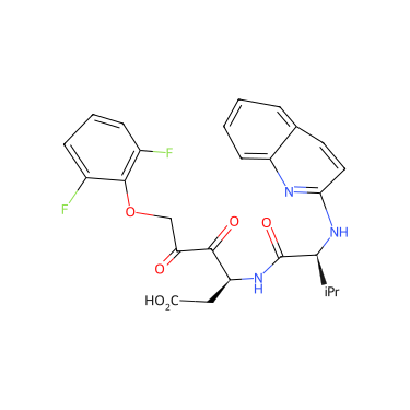 CC(C)[C@H](Nc1ccc2ccccc2n1)C(=O)N[C@@H](CC(=O)O)C(=O)C(=O)COc1c(F)cccc1F